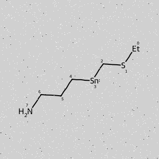 CCS[CH2][Sn][CH2]CCN